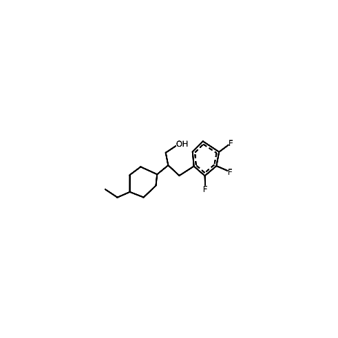 CCC1CCC(C(CO)Cc2ccc(F)c(F)c2F)CC1